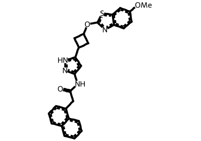 COc1ccc2nc(OC3CC(c4cc(NC(=O)Cc5cccc6ccccc56)n[nH]4)C3)sc2c1